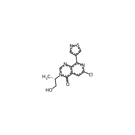 C[C@@H](CO)n1cnc2c(-c3cnsc3)nc(Cl)cc2c1=O